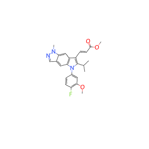 COC(=O)/C=C/c1c(C(C)C)n(-c2ccc(F)c(OC)c2)c2cc3cnn(C)c3cc12